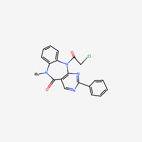 CCC(C)N1C(=O)c2cnc(-c3ccccc3)nc2N(C(=O)CCl)c2ccccc21